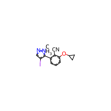 Cn1ncc(I)c1-c1cccc(OC2CC2)c1C#N